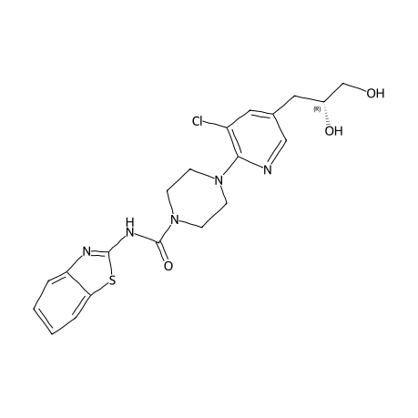 O=C(Nc1nc2ccccc2s1)N1CCN(c2ncc(C[C@@H](O)CO)cc2Cl)CC1